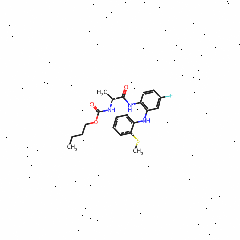 CCCCOC(=O)NC(C)C(=O)Nc1ccc(F)cc1Nc1ccccc1SC